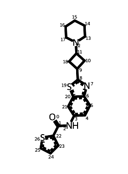 O=C(Nc1ccc2nc(C3CC(N4CCCCC4)C3)sc2c1)c1cccs1